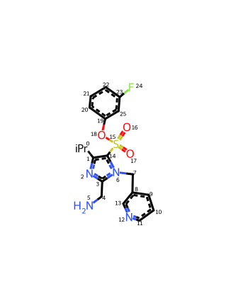 CC(C)c1nc(CN)n(Cc2cccnc2)c1S(=O)(=O)Oc1cccc(F)c1